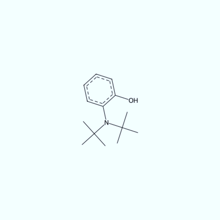 CC(C)(C)N(c1ccccc1O)C(C)(C)C